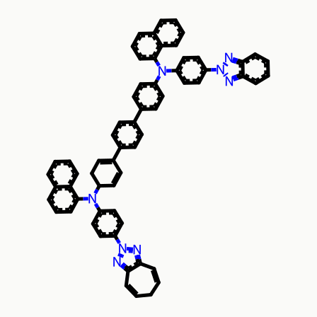 C1=Cc2nn(-c3ccc(N(c4cccc5ccccc45)C4C=CC(c5ccc(-c6ccc(N(c7ccc(-n8nc9ccccc9n8)cc7)c7cccc8ccccc78)cc6)cc5)=CC4)cc3)nc2C=CC1